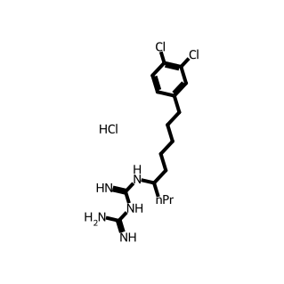 CCCC(CCCCCc1ccc(Cl)c(Cl)c1)NC(=N)NC(=N)N.Cl